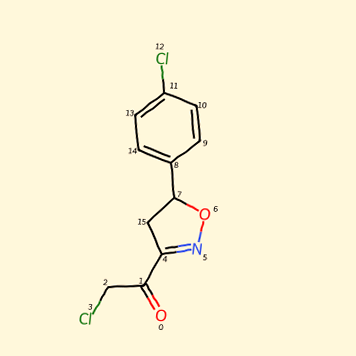 O=C(CCl)C1=NOC(c2ccc(Cl)cc2)C1